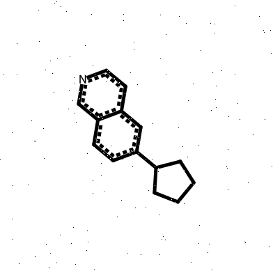 c1cc2cc(C3CCCC3)ccc2cn1